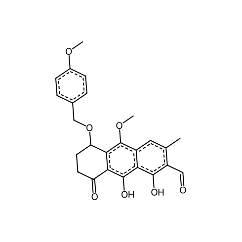 COc1ccc(COC2CCC(=O)c3c2c(OC)c2cc(C)c(C=O)c(O)c2c3O)cc1